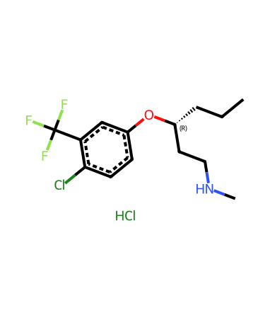 CCC[C@H](CCNC)Oc1ccc(Cl)c(C(F)(F)F)c1.Cl